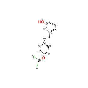 Oc1cccc(CCc2ccc(OC(F)F)cc2)c1